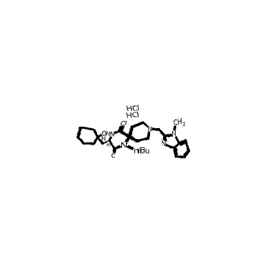 CCCCN1C(=O)[C@@H](CC2(O)CCCCC2)NC(=O)C12CCN(Cc1nc3ccccc3n1C)CC2.Cl.Cl